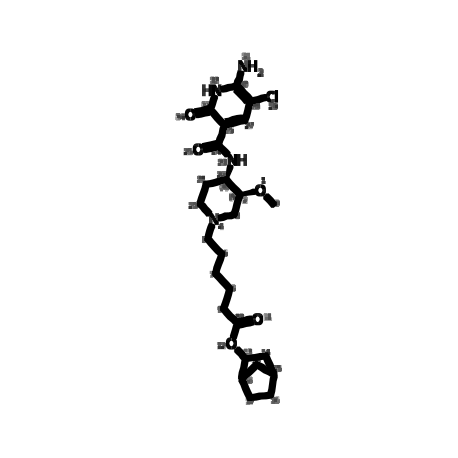 CO[C@H]1CN(CCCCCC(=O)OC2CC3CCC2C3)CC[C@H]1NC(=O)c1cc(Cl)c(N)[nH]c1=O